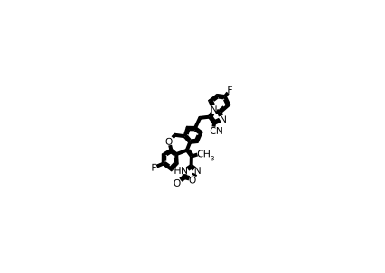 C/C(=C1\c2ccc(Cc3c(C#N)nc4cc(F)ccn34)cc2COc2cc(F)ccc21)c1noc(=O)[nH]1